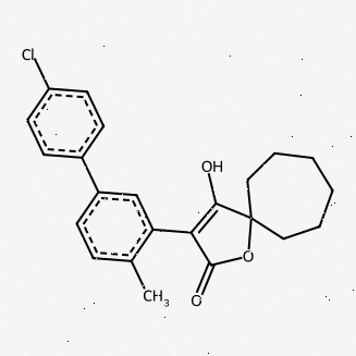 Cc1ccc(-c2ccc(Cl)cc2)cc1C1=C(O)C2(CCCCCC2)OC1=O